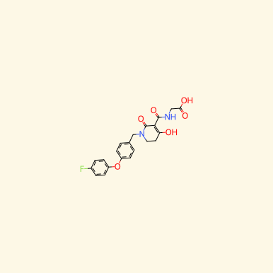 O=C(O)CNC(=O)C1=C(O)CCN(Cc2ccc(Oc3ccc(F)cc3)cc2)C1=O